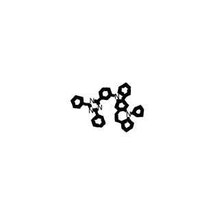 C1=Cc2cc3c(cc2N(c2ccccc2)c2ccccc21)c1ccccc1n3-c1cccc(-c2nc(-c3ccccc3)nc(-c3ccccc3)n2)c1